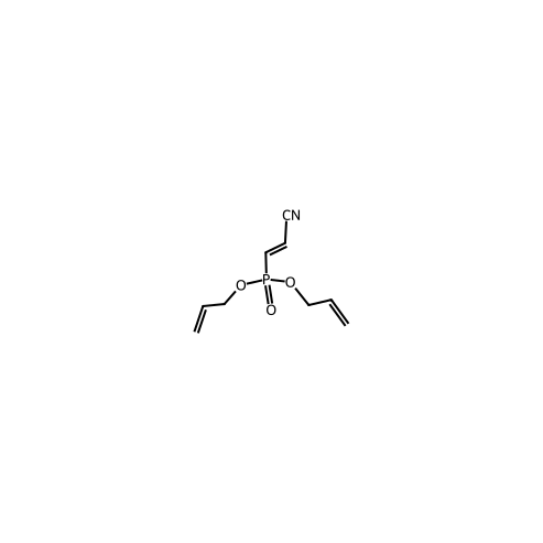 C=CCOP(=O)(C=CC#N)OCC=C